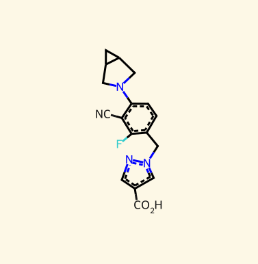 N#Cc1c(N2CC3CC3C2)ccc(Cn2cc(C(=O)O)cn2)c1F